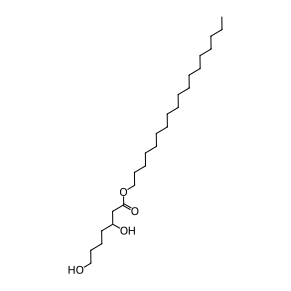 CCCCCCCCCCCCCCCCCCOC(=O)CC(O)CCCCO